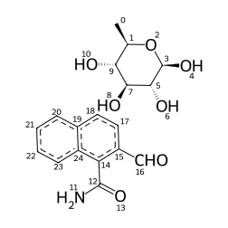 C[C@H]1O[C@@H](O)[C@H](O)[C@@H](O)[C@@H]1O.NC(=O)c1c(C=O)ccc2ccccc12